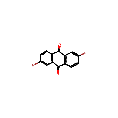 O=C1c2ccc(Br)cc2C(=O)c2ccc(Br)cc21